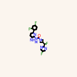 Nc1ccc(-c2ccc(F)cc2F)nc1NC(=O)N1CC(C(F)c2ncc(F)cn2)C1